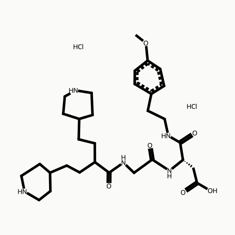 COc1ccc(CCNC(=O)[C@H](CC(=O)O)NC(=O)CNC(=O)C(CCC2CCNCC2)CCC2CCNCC2)cc1.Cl.Cl